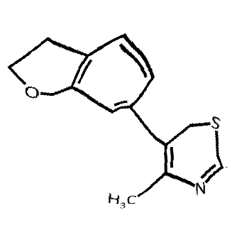 Cc1n[c]sc1-c1ccc2c(c1)OCC2